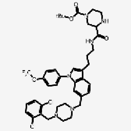 CC(C)(C)OC(=O)N1CCNC(C(=O)NCCCc2cn(-c3ccc(OC(F)(F)F)cc3)c3cc(CN4CCN(Cc5c(Cl)cccc5Cl)CC4)ccc23)C1